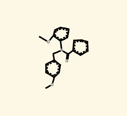 COc1ccc(CN(C(=O)c2ccccc2)c2ccccc2OC)cc1